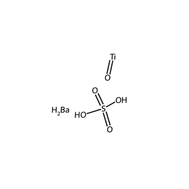 O=S(=O)(O)O.[BaH2].[O]=[Ti]